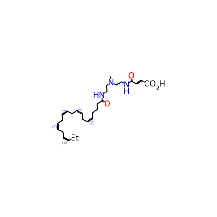 CC/C=C\C/C=C\C/C=C\C/C=C\C/C=C\CCCC(=O)NCCN(C)CCNC(=O)C=CC(=O)O